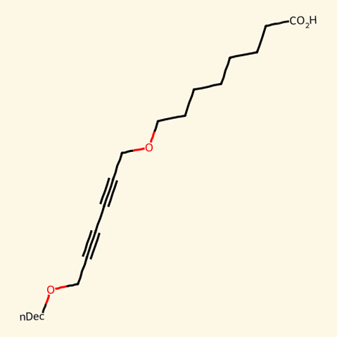 CCCCCCCCCCOCC#CC#CCOCCCCCCCC(=O)O